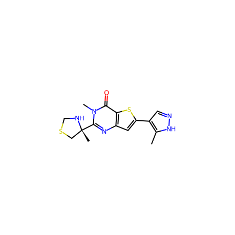 Cc1[nH]ncc1-c1cc2nc([C@]3(C)CSCN3)n(C)c(=O)c2s1